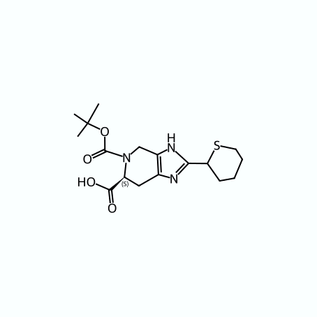 CC(C)(C)OC(=O)N1Cc2[nH]c(C3CCCCS3)nc2C[C@H]1C(=O)O